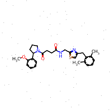 COc1ccccc1C1CCCN1C(=O)CCC(=O)NCc1nc(Cc2c(C)cccc2C)cs1